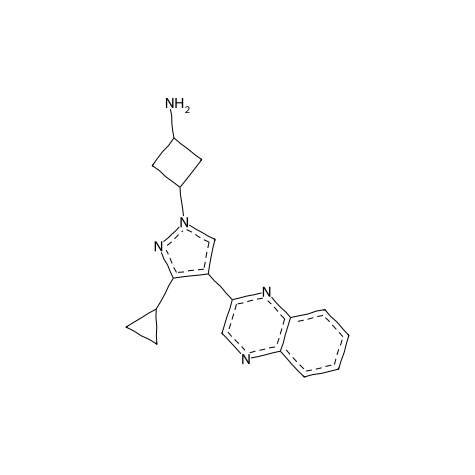 NC1CC(n2cc(-c3cnc4ccccc4n3)c(C3CC3)n2)C1